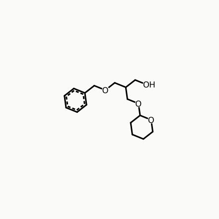 OCC(COCc1ccccc1)COC1CCCCO1